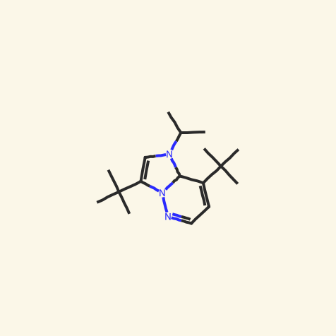 CC(C)N1C=C(C(C)(C)C)N2N=CC=C(C(C)(C)C)C21